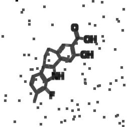 Cc1ccc2c3c([nH]c2c1F)-c1cc(O)c(C(=O)O)cc1CC3